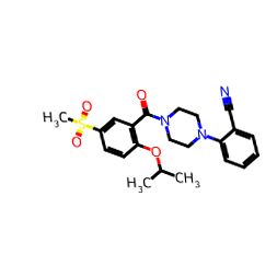 CC(C)Oc1ccc(S(C)(=O)=O)cc1C(=O)N1CCN(c2ccccc2C#N)CC1